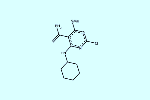 BC(=C)c1c(NC)nc(Cl)nc1NC1CCCCC1